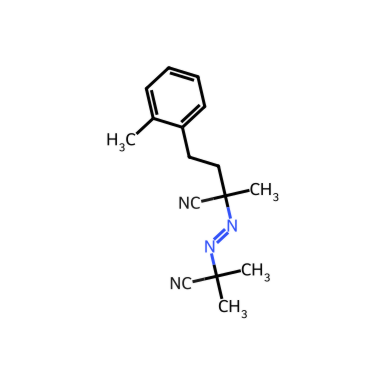 Cc1ccccc1CCC(C)(C#N)N=NC(C)(C)C#N